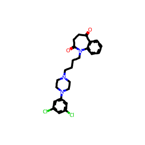 O=C1CCC(=O)N(CCCCN2CCN(c3cc(Cl)cc(Cl)c3)CC2)c2ccccc21